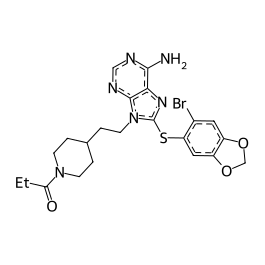 [CH2]CC(=O)N1CCC(CCn2c(Sc3cc4c(cc3Br)OCO4)nc3c(N)ncnc32)CC1